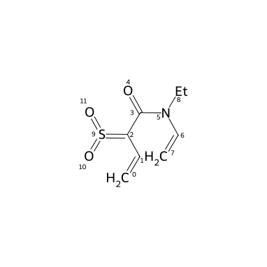 C=CC(C(=O)N(C=C)CC)=S(=O)=O